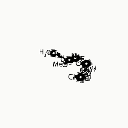 COc1cc2c(Oc3cc(NS(=O)(=O)c4cc(Cl)ccc4Cl)ccc3F)ccnc2cc1OCCCN1CCC(C)CC1